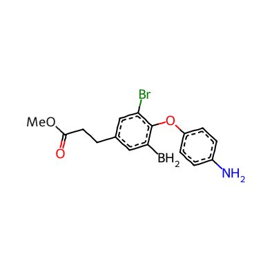 Bc1cc(CCC(=O)OC)cc(Br)c1Oc1ccc(N)cc1